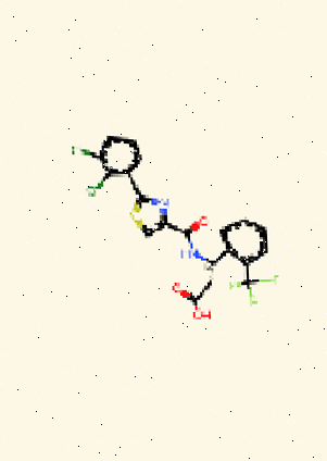 O=C(O)C[C@H](NC(=O)c1csc(-c2cccc(Cl)c2Cl)n1)c1ccccc1C(F)(F)F